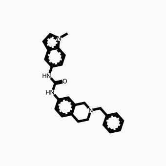 Cn1ccc2cc(NC(=O)Nc3ccc4c(c3)CN(Cc3ccccc3)CC4)ccc21